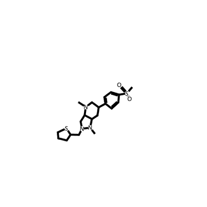 CN1CC(c2ccc(S(C)(=O)=O)cc2)CC2C1CN(CC1CCCS1)N2C